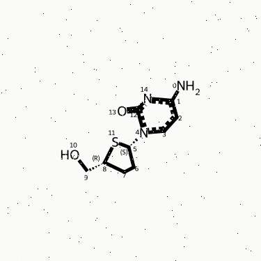 Nc1ccn([C@@H]2CC[C@H](CO)S2)c(=O)n1